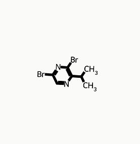 CC(C)c1ncc(Br)nc1Br